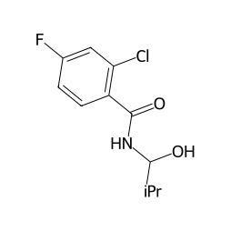 CC(C)C(O)NC(=O)c1ccc(F)cc1Cl